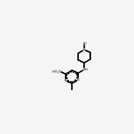 CC(=O)N1CCC(Nc2cc(C(=O)O)nc(C)n2)CC1